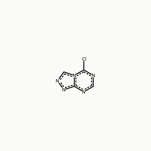 Clc1ncnc2nncn12